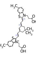 Cc1ccc2c(c1)S/C(=C\C=C1C=C(/C=C/c3sc4cc(C)ccc4[n+]3CCC(=O)O)CC(C)(C)C\1)N2CCC(=O)O